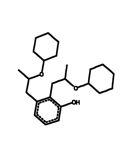 CC(Cc1cccc(O)c1CC(C)OC1CCCCC1)OC1CCCCC1